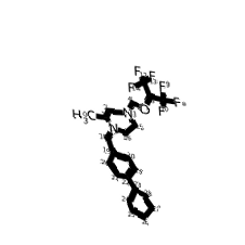 CC1CN(COC(C(F)(F)F)C(F)(F)F)CCN1Cc1ccc(-c2ccccc2)cc1